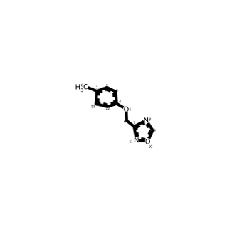 Cc1ccc(OCc2ncon2)cc1